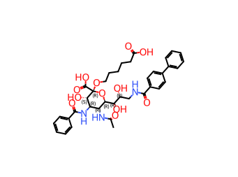 CC(=O)N[C@@H]1[C@@H](NC(=O)c2ccccc2)[C@H](O)[C@](OCCCCCC(=O)O)(C(=O)O)O[C@H]1[C@H](O)[C@H](O)CNC(=O)c1ccc(-c2ccccc2)cc1